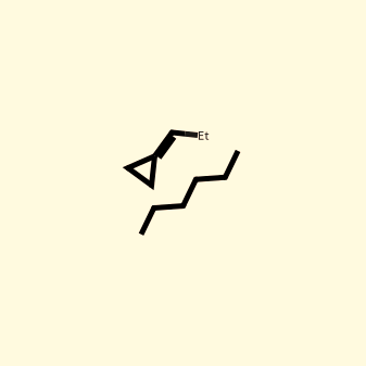 CCC=C1CC1.CCCCCC